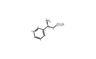 CCOC(=O)C[C@H](N)c1cccnc1